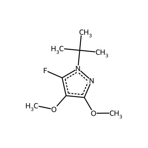 COc1nn(C(C)(C)C)c(F)c1OC